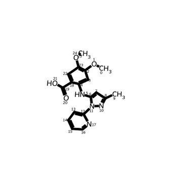 COc1cc(Nc2cc(C)nn2-c2ccccn2)c(C(=O)O)cc1OC